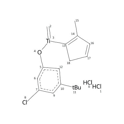 Cl.Cl.[CH2]=[Ti]([O]c1cc(Cl)cc(C(C)(C)C)c1)[C]1=C(C)C=CC1